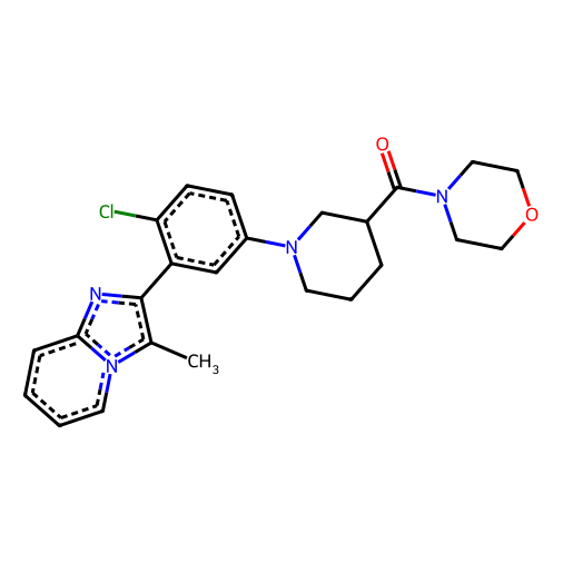 Cc1c(-c2cc(N3CCCC(C(=O)N4CCOCC4)C3)ccc2Cl)nc2ccccn12